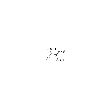 O=S(=O)(O)C(C(S(=O)(=O)O)S(=O)(=O)O)C(F)(F)F